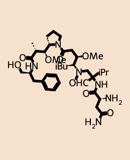 CC[C@H](C)[C@@H]([C@@H](CC(=O)N1CCC[C@H]1[C@H](OC)[C@@H](C)C(=O)N[C@H](CO)Cc1ccccc1)OC)N(C)CC(C=O)(NC(=O)[C@H](N)CC(N)=O)C(C)C